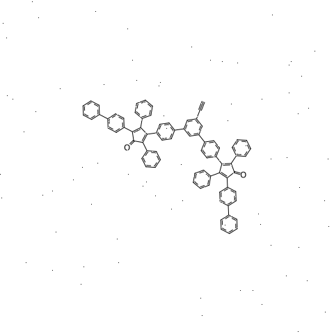 C#Cc1cc(-c2ccc(C3=C(c4ccccc4)C(=O)C(c4ccc(-c5ccccc5)cc4)=C3c3ccccc3)cc2)cc(-c2ccc(C3=C(c4ccccc4)C(=O)C(c4ccc(-c5ccccc5)cc4)=C3c3ccccc3)cc2)c1